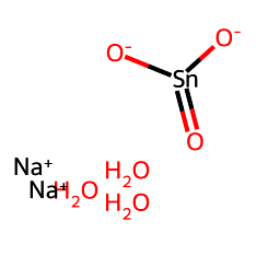 O.O.O.[Na+].[Na+].[O]=[Sn]([O-])[O-]